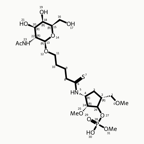 COC[C@H]1C[C@@H](NC(=S)CCCCO[C@@H]2O[C@H](CO)[C@H](O)[C@H](O)[C@H]2NC(C)=O)[C@@H](OC)C1OP(=O)(O)OC